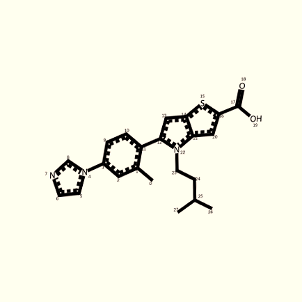 Cc1cc(-n2ccnc2)ccc1-c1cc2sc(C(=O)O)cc2n1CCC(C)C